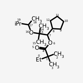 CCC(C)(C)C(=O)OC(C1CCCC1)C(C)(C)OC(C)C(C)C